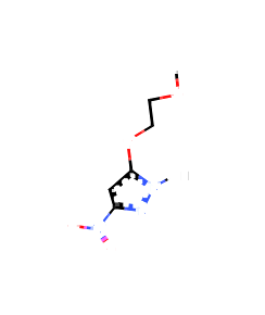 COCCOc1cc([N+](=O)[O-])nn1C